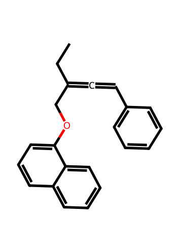 CCC(=C=Cc1ccccc1)COc1cccc2ccccc12